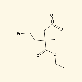 CCOC(=O)C(C)(CCBr)C[SH](=O)=O